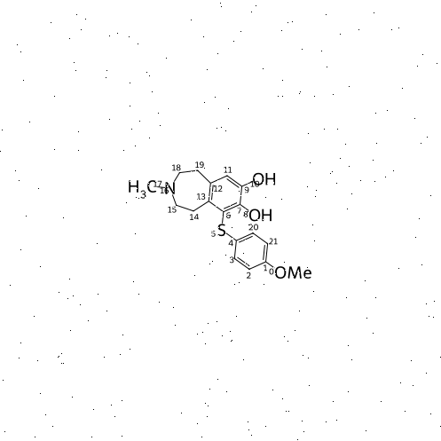 COc1ccc(Sc2c(O)c(O)cc3c2CCN(C)CC3)cc1